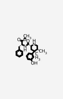 COC(=O)[C@@H](Cc1ccccc1)NC(=O)[C@H]1C[C@@](C)(c2cccc(O)c2)[C@@H](C)CN1